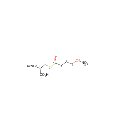 CC(=O)NC(CSC(=O)CCCO[N+](=O)[O-])C(=O)O